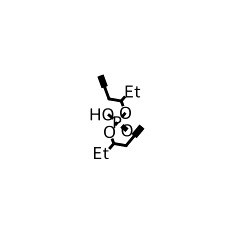 C#CCC(CC)OP(=O)(O)OC(CC)CC#C